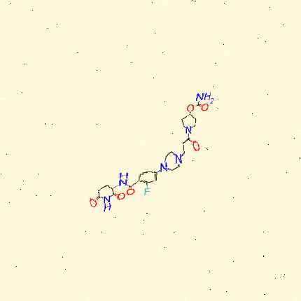 NC(=O)OC1CCN(C(=O)CCN2CCN(c3ccc(C(=O)NC4CCC(=O)NC4=O)c(F)c3)CC2)CC1